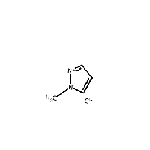 CN1C=CC=[N+]1.[Cl-]